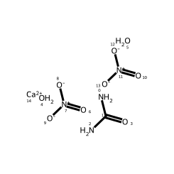 NC(N)=O.O.O.O=[N+]([O-])[O-].O=[N+]([O-])[O-].[Ca+2]